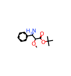 COC(C(=O)OC(C)(C)C)C(N)c1ccccc1